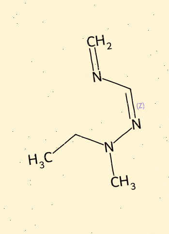 C=N/C=N\N(C)CC